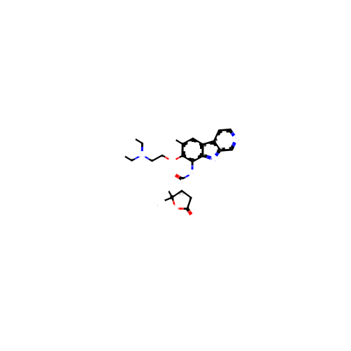 CCN(CC)CCOc1c(C)cc2c([nH]c3cnccc32)c1NC(=O)[C@@H]1CC(=O)OC1(C)C